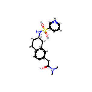 CN(C)C(=O)Cc1ccc2c(c1)CC(NS(=O)(=O)c1cccnc1)CC2